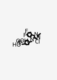 Cc1nc(Cl)c2c(n1)c1cc(F)c(F)cc1n2Cc1ccc(CP(=O)(O)O)cc1